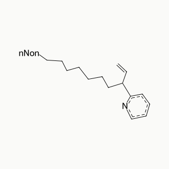 C=CC(CCCCCCCCCCCCCCCC)c1ccccn1